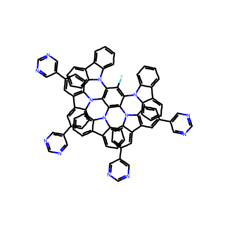 Fc1c(-n2c3ccccc3c3ccccc32)c(-n2c3ccc(-c4cncnc4)cc3c3cc(-c4cncnc4)ccc32)c(-n2c3ccccc3c3ccccc32)c(-n2c3ccc(-c4cncnc4)cc3c3cc(-c4cncnc4)ccc32)c1-n1c2ccccc2c2ccccc21